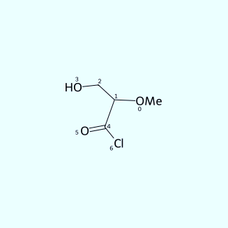 COC(CO)C(=O)Cl